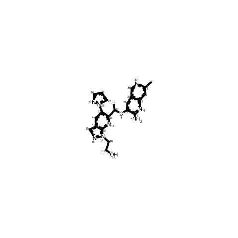 Cc1cc2nc(N)c(OC(C)c3nc4c(cnn4CCO)cc3-n3cccn3)cc2cn1